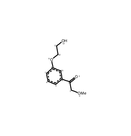 COCC(=O)c1cccc(OCCO)c1